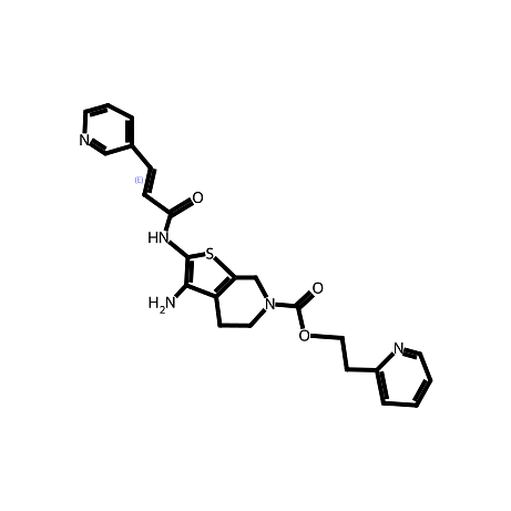 Nc1c(NC(=O)/C=C/c2cccnc2)sc2c1CCN(C(=O)OCCc1ccccn1)C2